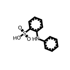 O=S(=O)(O)c1ccccc1Nc1ccccc1